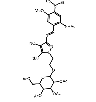 CCN(CC)c1cc(NC(C)=O)c(/N=N/c2nn(CCOC3O[C@H](COC(C)=O)C(OC(C)=O)[C@H](OC(C)=O)C3OC(C)=O)c(C(C)(C)C)c2C#N)cc1OC